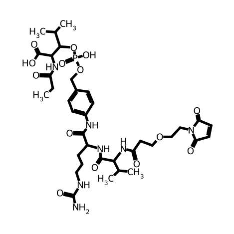 CCC(=O)NC(C(=O)O)C(OP(=O)(O)OCc1ccc(NC(=O)C(CCCNC(N)=O)NC(=O)C(NC(=O)CCOCCN2C(=O)C=CC2=O)C(C)C)cc1)C(C)C